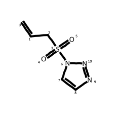 C=CCS(=O)(=O)n1ccnn1